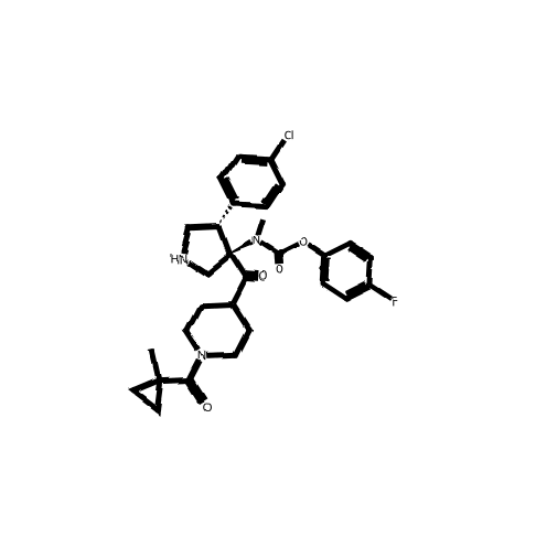 CN(C(=O)Oc1ccc(F)cc1)[C@@]1(C(=O)C2CCN(C(=O)C3(C)CC3)CC2)CNC[C@@H]1c1ccc(Cl)cc1